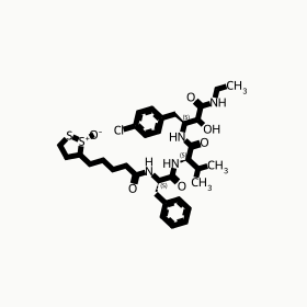 CCNC(=O)C(O)[C@H](Cc1ccc(Cl)cc1)NC(=O)[C@@H](NC(=O)[C@H](Cc1ccccc1)NC(=O)CCCCC1CCS[S+]1[O-])C(C)C